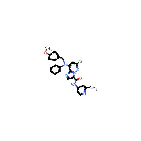 COc1ccc(CN(c2ccccc2)c2cc(Cl)nn3c(C(=O)Nc4ccnc(C)c4)cnc23)cc1